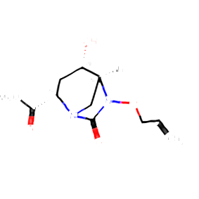 C=CCON1C(=O)N2C[C@H]1[C@@H](O)C[C@H]2C(=O)OC